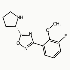 COc1c(F)cccc1-c1noc([C@@H]2CCCN2)n1